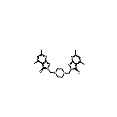 Cc1cc(C)c2c(=O)n(CN3CCN(Cn4sc5nc(C)cc(C)c5c4=O)CC3)sc2n1